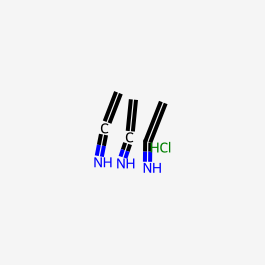 C=C=N.C=C=N.C=C=N.Cl